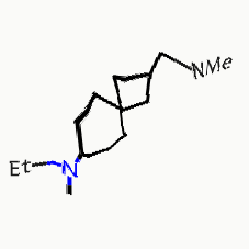 CCN(C)C1CCC2(CC1)CC(CNC)C2